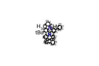 CC(C)(C)c1cc2c3c(c1)C1(C)CCCCC1(C)N3c1cc(-c3ccccc3)cc3c1B2N1c2ccccc2C2(c4ccccc4-c4ccccc42)c2cccc-3c21